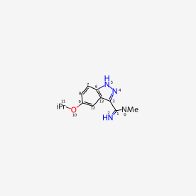 CNC(=N)c1n[nH]c2ccc(OC(C)C)cc12